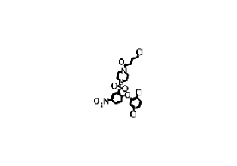 O=C(CCCCl)N1CCN(S(=O)(=O)c2cc([N+](=O)[O-])ccc2Oc2cc(Cl)ccc2Cl)CC1